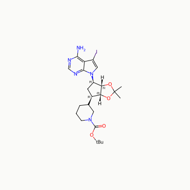 CC(C)(C)OC(=O)N1CCCC([C@H]2C[C@@H](n3cc(I)c4c(N)ncnc43)[C@@H]3OC(C)(C)O[C@@H]32)C1